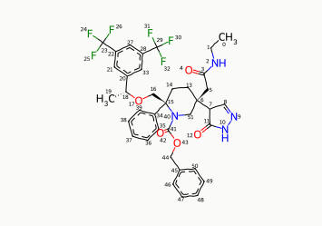 CCNC(=O)C[C@]1(C2C=NNC2=O)CC[C@@](CO[C@H](C)c2cc(C(F)(F)F)cc(C(F)(F)F)c2)(c2ccccc2)N(C(=O)OCc2ccccc2)C1